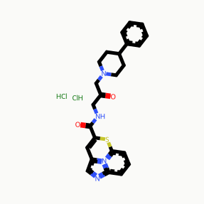 Cl.Cl.O=C(CNC(=O)C1=Cc2cnc3cccc(n23)S1)CN1CCC(c2ccccc2)CC1